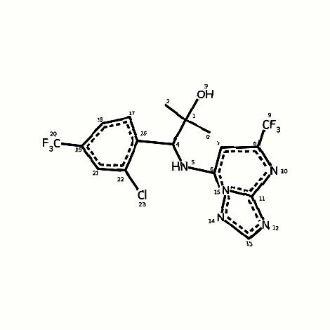 CC(C)(O)C(Nc1cc(C(F)(F)F)nc2ncnn12)c1ccc(C(F)(F)F)cc1Cl